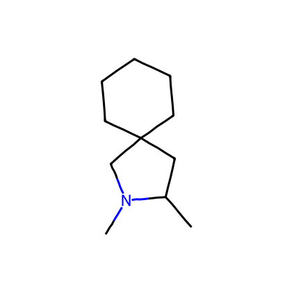 CC1CC2(CCCCC2)CN1C